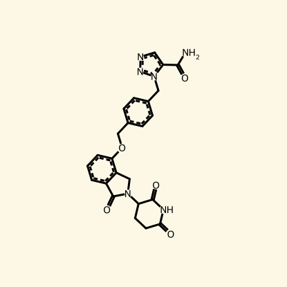 NC(=O)c1cnnn1Cc1ccc(COc2cccc3c2CN(C2CCC(=O)NC2=O)C3=O)cc1